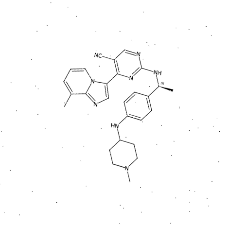 Cc1cccn2c(-c3nc(N[C@@H](C)c4ccc(NC5CCN(C)CC5)cc4)ncc3C#N)cnc12